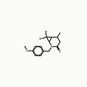 COc1ccc(CN2C(=O)CC(C)C3C2C3(Br)Br)cc1